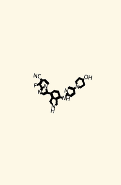 N#Cc1ccn2c(-c3ccc(Nc4ccc(N5CCC(O)CC5)cn4)c4c3CNC4)cnc2c1F